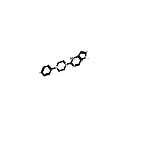 C1=NC(N2CCN(c3ccccc3)CC2)Nc2ccsc21